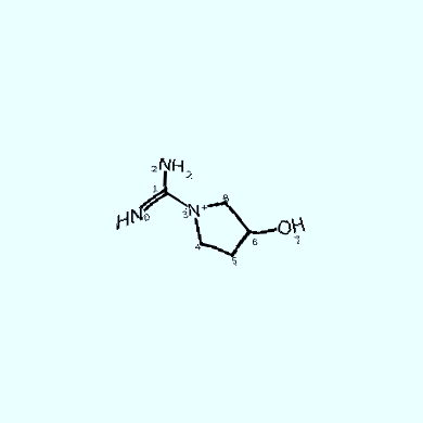 N=C(N)[N+]1CCC(O)C1